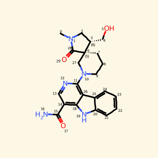 CN1C[C@H](CO)[C@]2(CCCN(c3ncc(C(N)=O)c4[nH]c5ccccc5c34)C2)C1=O